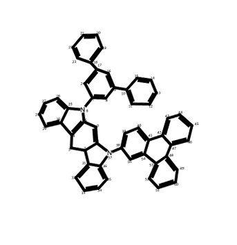 C1=C2C(Cc3c1n(-c1cc(-c4ccccc4)cc(-c4ccccc4)c1)c1ccccc31)c1ccccc1N2c1ccc2c3ccccc3c3ccccc3c2c1